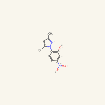 Cc1cc(C)n(-c2ccc([N+](=O)[O-])cc2O)n1